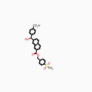 CS(=O)(=O)c1ccc(COC(=O)c2ccc3ccc(C(O)c4ccc(C(=O)O)cc4)cc3c2)cc1